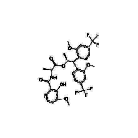 COc1cc(C(F)(F)F)ccc1C(c1ccc(C(F)(F)F)cc1OC)[C@H](C)OC(=O)[C@H](C)NC(=O)c1nccc(OC)c1O